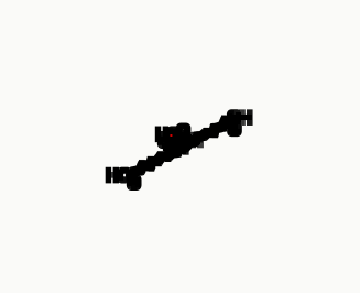 O=C(O)CCCCCCCCCCN(CCCCCCCCCCC(=O)O)C(P(=O)(O)O)P(=O)(O)O